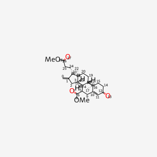 C=C1C[C@H]2[C@@H]3C(C(=O)OC)CC4=CC(=O)CC[C@]4(C)[C@H]3CC[C@]2(C)[C@H]1CCC(=O)OC